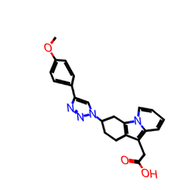 COc1ccc(-c2cn(C3CCc4c(CC(=O)O)c5ccccn5c4C3)nn2)cc1